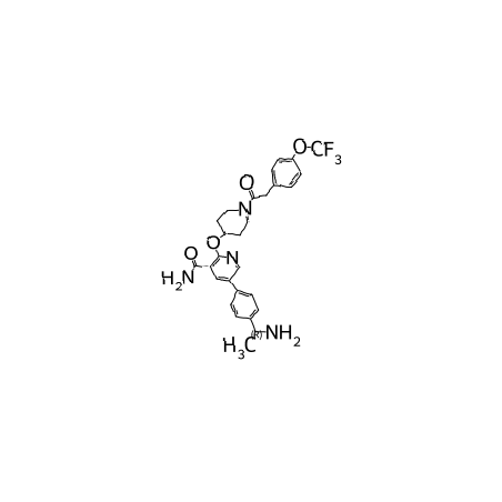 C[C@@H](N)c1ccc(-c2cnc(OC3CCN(C(=O)Cc4ccc(OC(F)(F)F)cc4)CC3)c(C(N)=O)c2)cc1